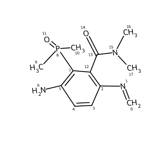 C=Nc1ccc(N)c(P(C)(C)=O)c1C(=O)N(C)C